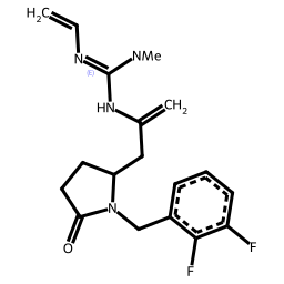 C=C/N=C(\NC)NC(=C)CC1CCC(=O)N1Cc1cccc(F)c1F